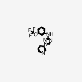 FC(F)(F)Oc1cccc(Nc2ncn(-c3cccnc3)n2)c1